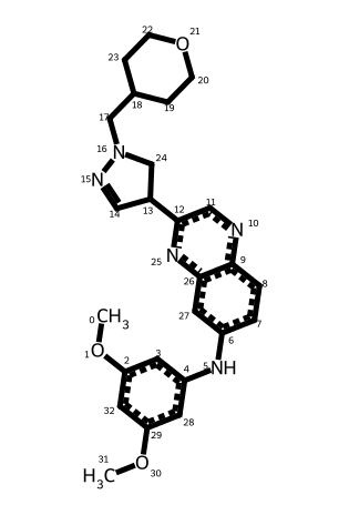 COc1cc(Nc2ccc3ncc(C4C=NN(CC5CCOCC5)C4)nc3c2)cc(OC)c1